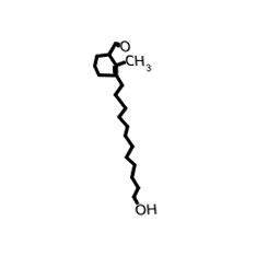 CC1=C(CCCCCCCCCCCCO)CCCC1C=O